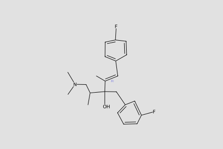 C/C(=C\c1ccc(F)cc1)C(O)(Cc1cccc(F)c1)C(C)CN(C)C